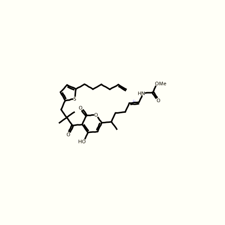 C=CCCCCc1ccc(CC(C)(C)C(=O)c2c(O)cc(C(C)CC/C=C/NC(=O)OC)oc2=O)s1